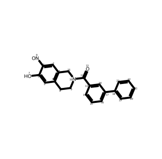 O=Nc1cc2c(cc1O)CCN(C(=O)c1cccc(-c3ccccc3)c1)C2